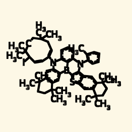 Cc1ccccc1N1c2cccc3c2B(c2cc4c(cc2N3C2=C/CC(C)(C)CCC(C)(C)C(I)/C=C\2)C(C)(C)CCC4(C)C)c2sc3cc4c(cc3c21)C(C)(C)CCC4(C)C